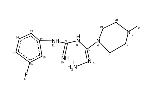 CN1CCN(C(=NN)NC(=N)Nc2cccc(F)c2)CC1